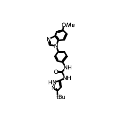 COc1ccc2c(c1)ncn2-c1ccc(NC(=O)Nc2cc(C(C)(C)C)n[nH]2)cc1